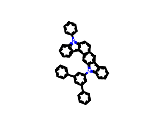 c1ccc(-c2cc(-c3ccccc3)cc(-n3c4ccccc4c4cc5ccc6c(c5cc43)c3ccccc3n6-c3ccccc3)c2)cc1